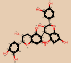 Oc1cc(O)c2c(c1)O[C@H](c1ccc(O)c(O)c1)[C@H](O)[C@@H]2c1c(O)cc2c(c1O)C[C@@H](O)[C@@H](c1ccc(O)c(O)c1)O2